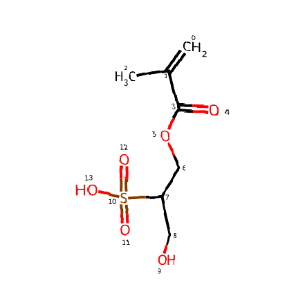 C=C(C)C(=O)OCC(CO)S(=O)(=O)O